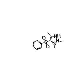 CC1=C(S(=O)(=O)c2ccccc2)N(C)N(C)N1